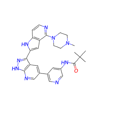 CN1CCN(c2nccc3[nH]c(-c4n[nH]c5ncc(-c6cncc(NC(=O)C(C)(C)C)c6)cc45)cc23)CC1